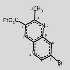 CCOC(=O)c1cc2ncc(Br)cc2nc1C